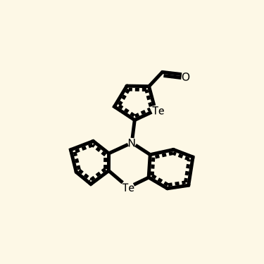 O=Cc1ccc(N2c3ccccc3[Te]c3ccccc32)[te]1